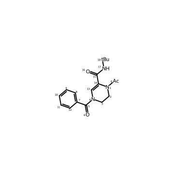 CC(=O)N1CCN(C(=O)c2ccccc2)C=C1C(=O)NC(C)(C)C